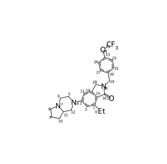 CCc1cc(N2CCN3CCCC3C2)cc2c1C(=O)N(Cc1ccc(OC(F)(F)F)cc1)C2